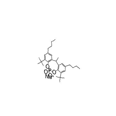 CCCCc1cc2c(c(C(C)(C)C)c1)OP(=O)([O-])Oc1c(cc(CCCC)cc1C(C)(C)C)C2C.[Na+]